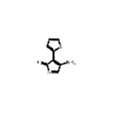 NC1=C(c2cccs2)C(=O)N=C1